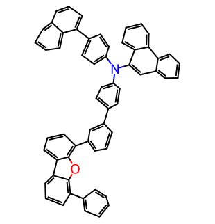 c1ccc(-c2cccc3c2oc2c(-c4cccc(-c5ccc(N(c6ccc(-c7cccc8ccccc78)cc6)c6cc7ccccc7c7ccccc67)cc5)c4)cccc23)cc1